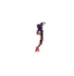 C=CC(=O)OCCCCCCOc1ccc(OC(=O)C2CCC(C(=O)Oc3ccc(-c4ccc(C5CCC(CCC)CC5)cc4)c(/C=N/N(CCOCCOC)c4nc5ccccc5s4)c3)CC2)cc1